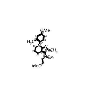 CCCN(CCOC)c1c2c(nn1C)N(c1ccc(OC)cc1C)CCC2